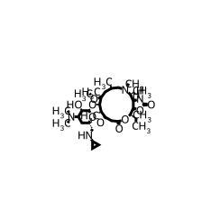 CC[C@H]1OC(=O)CC(=O)[C@H](C)[C@@H](O[C@@H]2O[C@H](CNC3CC3)CC(N(C)C)[C@H]2O)[C@](C)(OC)C[C@@H](C)CN(C)[C@H](C)[C@H]2NC(=O)O[C@@]21C